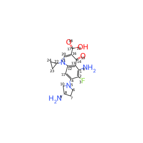 Nc1c(F)c(N2CC[C@H](N)C2)cc2c1c(=O)c(C(=O)O)cn2C1CC1